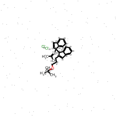 C[C](C)=[Zr+2][C]1(C2C(CCCO[Si](C)(C)C)=Cc3ccccc32)C=Cc2ccccc21.[Cl-].[Cl-]